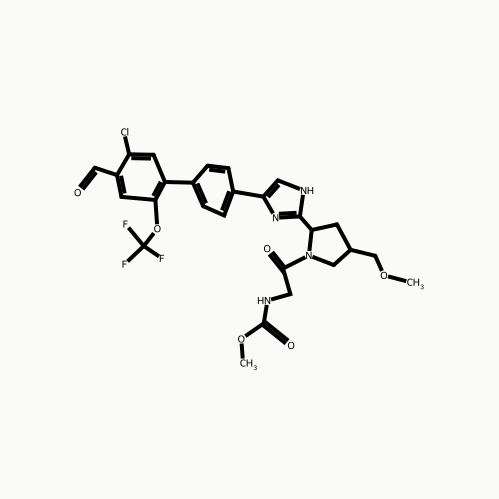 COCC1CC(c2nc(-c3ccc(-c4cc(Cl)c(C=O)cc4OC(F)(F)F)cc3)c[nH]2)N(C(=O)CNC(=O)OC)C1